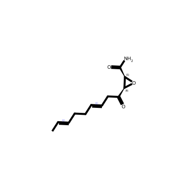 C/C=C/CC/C=C/CC(=O)[C@@H]1O[C@@H]1C(N)=O